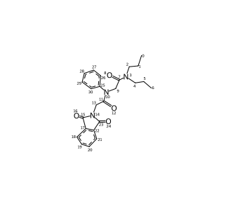 CCCN(CCC)C(=O)CN(C(=O)CN1C(=O)c2ccccc2C1=O)c1ccccc1